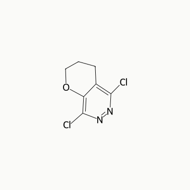 Clc1nnc(Cl)c2c1CCCO2